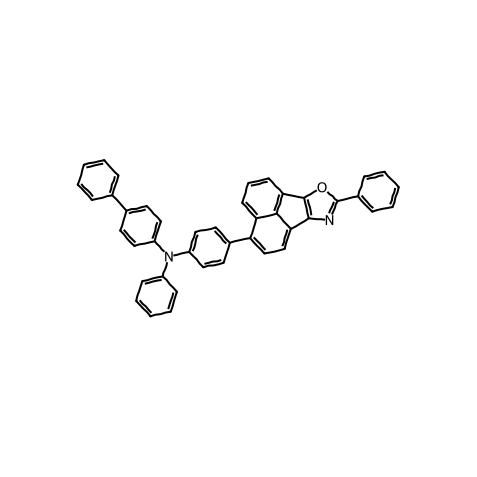 c1ccc(-c2ccc(N(c3ccccc3)c3ccc(-c4ccc5c6c(cccc46)-c4oc(-c6ccccc6)nc4-5)cc3)cc2)cc1